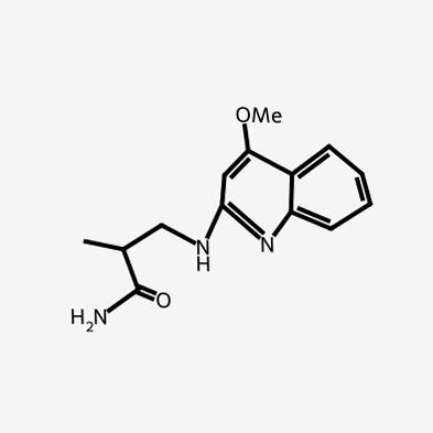 COc1cc(NCC(C)C(N)=O)nc2ccccc12